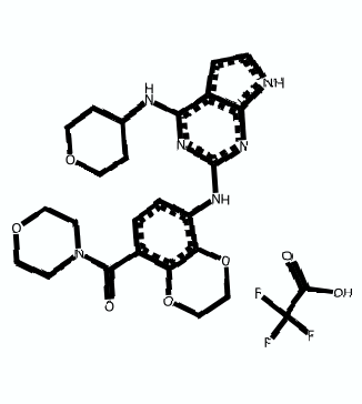 O=C(O)C(F)(F)F.O=C(c1ccc(Nc2nc(NC3CCOCC3)c3cc[nH]c3n2)c2c1OCCO2)N1CCOCC1